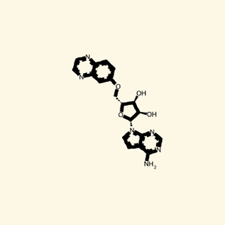 Nc1ncnc2c1ccn2[C@@H]1O[C@H](COc2ccc3nccnc3c2)[C@@H](O)[C@H]1O